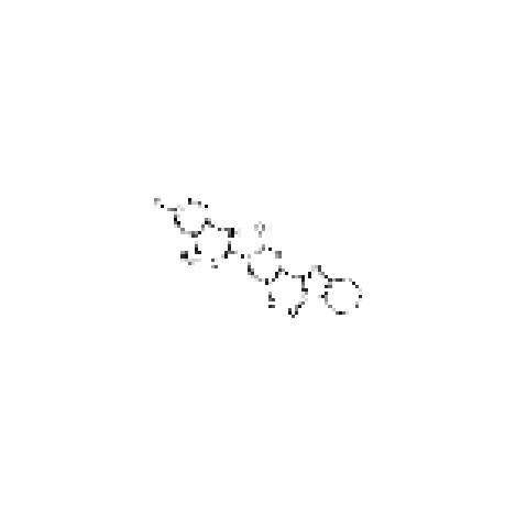 Cc1cc(F)ccc1NC(=O)c1cc(Cl)c(-n2nc3n(c2=O)CCCC3)cc1O